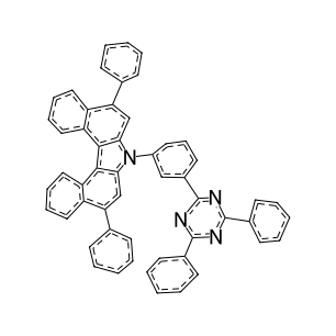 c1ccc(-c2nc(-c3ccccc3)nc(-c3cccc(-n4c5cc(-c6ccccc6)c6ccccc6c5c5c6ccccc6c(-c6ccccc6)cc54)c3)n2)cc1